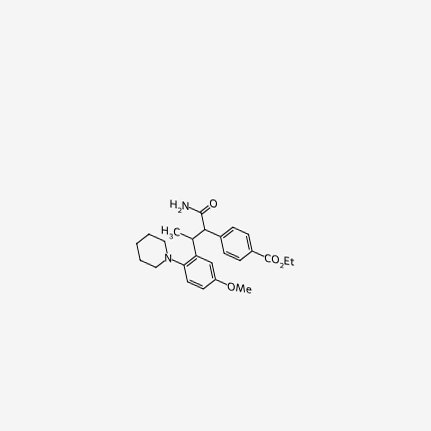 CCOC(=O)c1ccc(C(C(N)=O)C(C)c2cc(OC)ccc2N2CCCCC2)cc1